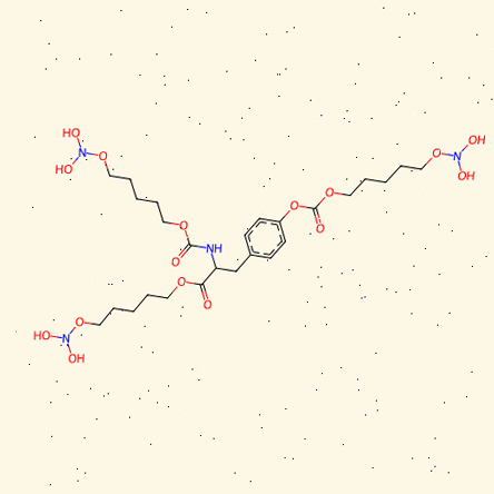 O=C(NC(Cc1ccc(OC(=O)OCCCCCON(O)O)cc1)C(=O)OCCCCCON(O)O)OCCCCCON(O)O